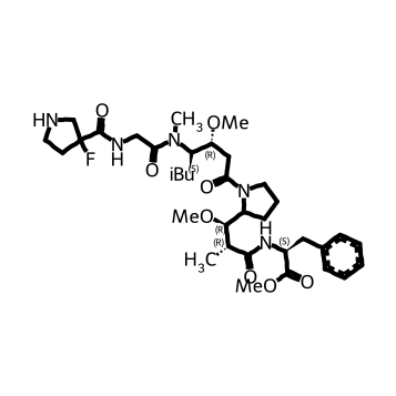 CC[C@H](C)C([C@@H](CC(=O)N1CCCC1[C@H](OC)[C@@H](C)C(=O)N[C@@H](Cc1ccccc1)C(=O)OC)OC)N(C)C(=O)CNC(=O)C1(F)CCNC1